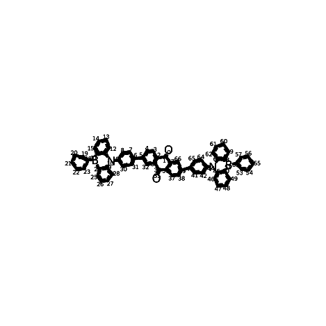 O=C1c2ccc(-c3ccc(N4c5ccccc5B(c5ccccc5)c5ccccc54)cc3)cc2C(=O)c2ccc(-c3ccc(N4c5ccccc5B(c5ccccc5)c5ccccc54)cc3)cc21